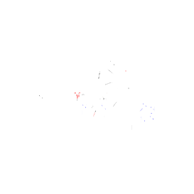 CO[C@@]1(NC(=O)CSCC#N)C(=O)N2C(C(=O)O)=C(CSc3nnnn3C)CS[C@@H]21.O=C([O-])c1ccccc1O.[Na+]